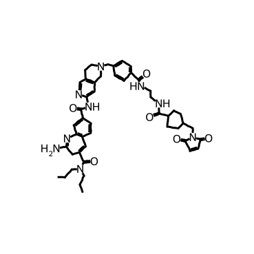 CCCN(CCC)C(=O)C1=Cc2ccc(C(=O)Nc3cc4c(cn3)CCN(Cc3ccc(C(=O)NCCNC(=O)C5CCC(CN6C(=O)C=CC6=O)CC5)cc3)C4)cc2N=C(N)C1